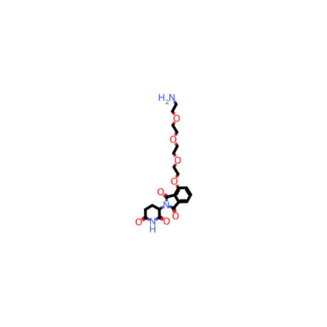 NCCOCCOCCOCCOc1cccc2c1C(=O)N(C1CCC(=O)NC1=O)C2=O